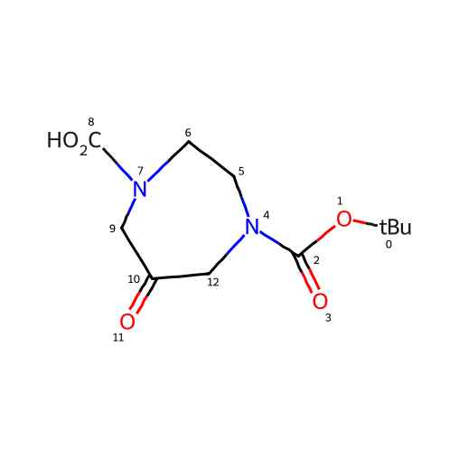 CC(C)(C)OC(=O)N1CCN(C(=O)O)CC(=O)C1